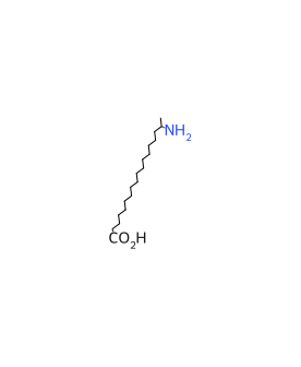 CC(N)CCCCCCCCCCCCCCCC(=O)O